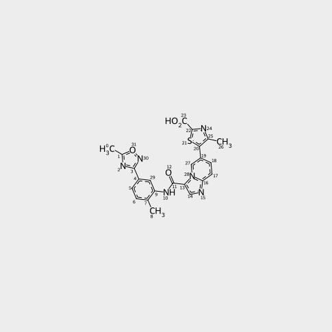 Cc1nc(-c2ccc(C)c(NC(=O)c3cnc4ccc(-c5sc(C(=O)O)nc5C)cn34)c2)no1